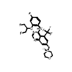 O=S1(=Nc2cc(C(F)(F)F)c3c(Nc4ccc(F)cc4OC(CF)CF)ncnc3c2)CCOCC1